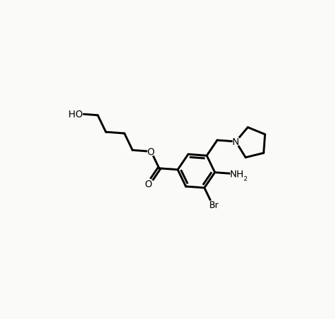 Nc1c(Br)cc(C(=O)OCCCCO)cc1CN1CCCC1